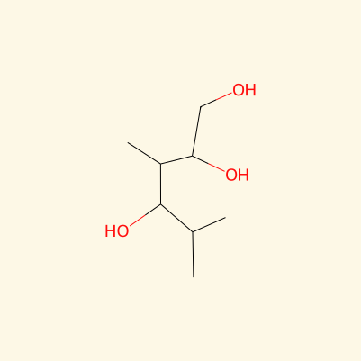 CC(C)C(O)C(C)C(O)CO